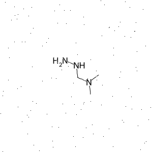 CN(C)CNN